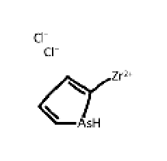 [Cl-].[Cl-].[Zr+2][C]1=CC=C[AsH]1